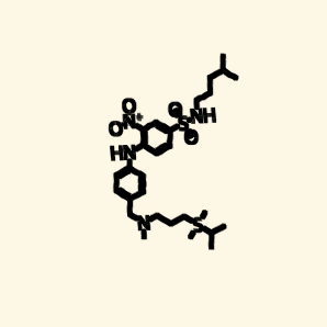 CC(C)CCCNS(=O)(=O)c1ccc(Nc2ccc(CN(C)CCCS(C)(C)C(C)C)cc2)c([N+](=O)[O-])c1